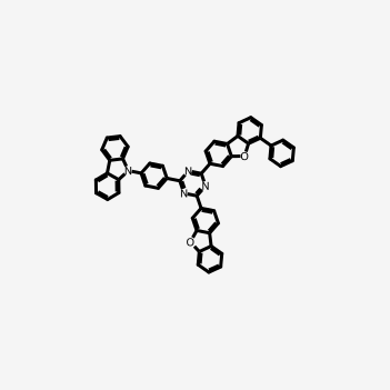 c1ccc(-c2cccc3c2oc2cc(-c4nc(-c5ccc(-n6c7ccccc7c7ccccc76)cc5)nc(-c5ccc6c(c5)oc5ccccc56)n4)ccc23)cc1